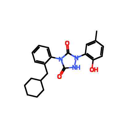 Cc1ccc(O)c(-n2[nH]c(=O)n(-c3ccccc3CC3CCCCC3)c2=O)c1